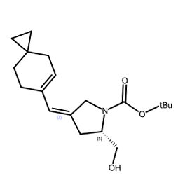 CC(C)(C)OC(=O)N1C/C(=C\C2=CCC3(CC2)CC3)C[C@H]1CO